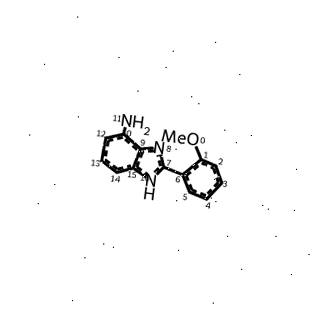 COc1ccccc1-c1nc2c(N)cccc2[nH]1